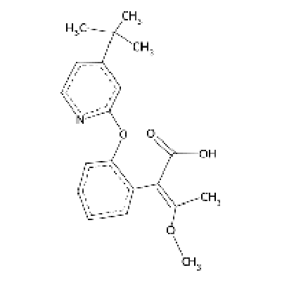 COC(C)=C(C(=O)O)c1ccccc1Oc1cc(C(C)(C)C)ccn1